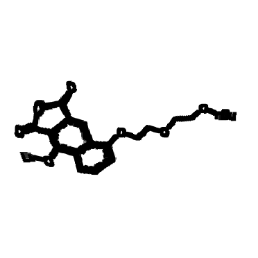 CCCCOCCOCCOc1cccc2c(OCC)c3c(cc12)C(=O)OC3=O